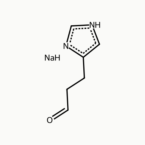 O=CCCc1c[nH]cn1.[NaH]